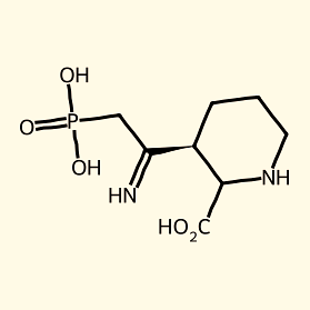 N=C(CP(=O)(O)O)[C@H]1CCCNC1C(=O)O